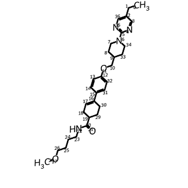 CCc1cnc(N2CCC(COc3ccc(C4=CCC(C(=O)NCCCCOC)CC4)cc3)CC2)nc1